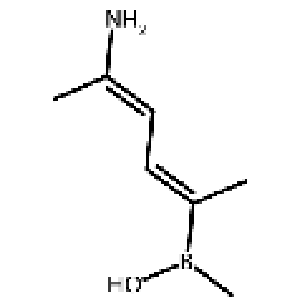 CB(O)/C(C)=C/C=C(\C)N